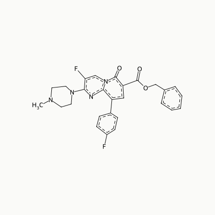 CN1CCN(c2nc3c(-c4ccc(F)cc4)cc(C(=O)OCc4ccccc4)c(=O)n3cc2F)CC1